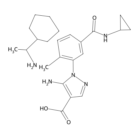 CC(N)C1CCCCC1.Cc1ccc(C(=O)NC2CC2)cc1-n1ncc(C(=O)O)c1N